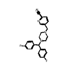 N#Cc1ccc(CN2CCN(C(c3ccc(F)cc3)c3ccc(F)cc3)CC2)cn1